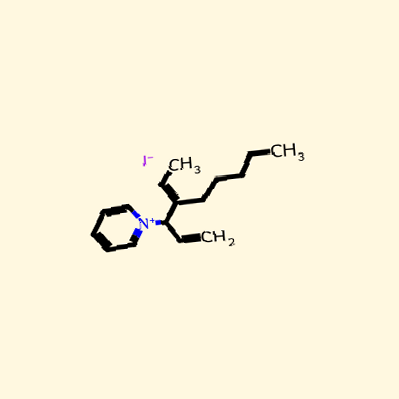 C=CC(C(=CC)CCCCC)[n+]1ccccc1.[I-]